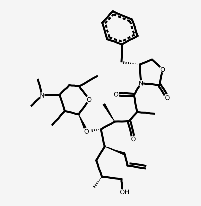 C=CC[C@@H](C[C@@H](C)CO)[C@H](O[C@@H]1OC(C)CC(N(C)C)C1C)[C@@H](C)C(=O)C(C)C(=O)N1C(=O)OC[C@H]1Cc1ccccc1